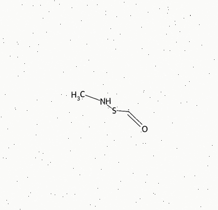 CNS[C]=O